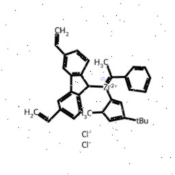 C=Cc1ccc2c(c1)-c1cc(C=C)ccc1[CH]2/[Zr+2]([C]1=CC(C(C)(C)C)=CC1C)=[C](\C)c1ccccc1.[Cl-].[Cl-]